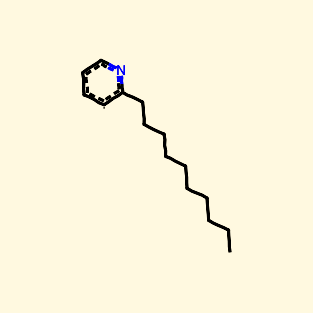 CCCCCCCCCCc1[c]cccn1